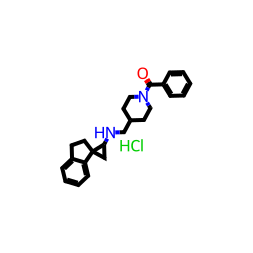 Cl.O=C(c1ccccc1)N1CCC(CNC2CC23CCc2ccccc23)CC1